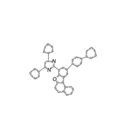 c1ccc(-c2ccc(-c3cc(-c4nc(-c5ccccc5)cc(-c5ccccc5)n4)c4oc5ccc6ccccc6c5c4c3)cc2)cc1